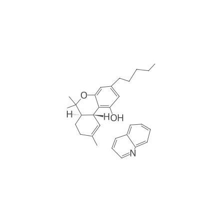 CCCCCc1cc(O)c2c(c1)OC(C)(C)[C@@H]1CCC(C)=C[C@@H]21.c1ccc2ncccc2c1